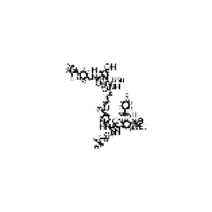 CCS(=O)(=O)Nc1ccc(-c2nn(COCC[Si](C)(C)C)c(Nc3ccc(C(=O)OCCCCC(=O)N[C@H](C(=O)N4C[C@H](O)CC4C(=O)NCc4ccc(-c5scnc5C)cc4)C(C)(C)C)cn3)c2C#N)cc1O[C@@H](C)c1ccc(F)cc1